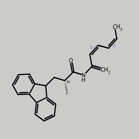 C=C(/C=C\C=C/C)NC(=O)[C@H](I)CC1c2ccccc2-c2ccccc21